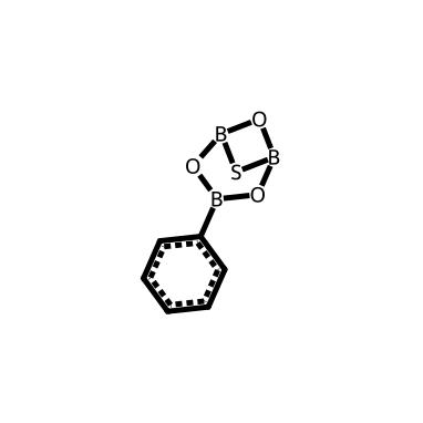 c1ccc(B2OB3OB(O2)S3)cc1